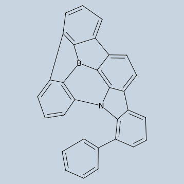 c1ccc(-c2cccc3c4ccc5c6c4n(c23)-c2cccc3c2B6c2c-3cccc2-5)cc1